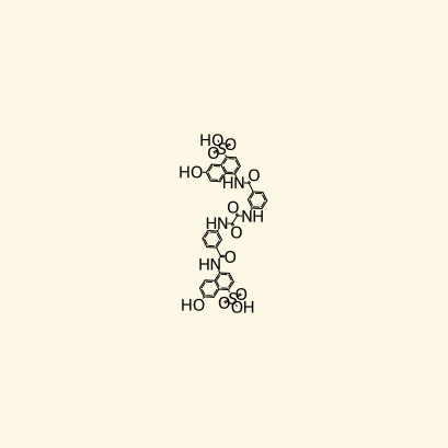 O=C(Nc1cccc(C(=O)Nc2ccc(S(=O)(=O)O)c3cc(O)ccc23)c1)C(=O)Nc1cccc(C(=O)Nc2ccc(S(=O)(=O)O)c3cc(O)ccc23)c1